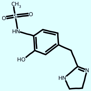 CS(=O)(=O)Nc1ccc(CC2=NCCN2)cc1O